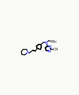 CC(C)(C)CN(Cc1ccc(C=CCN2CCCCC2)cc1)c1ccnc(C#N)n1